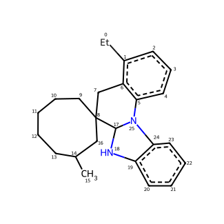 CCc1cccc2c1CC1(CCCCCC(C)C1)C1Nc3ccccc3N21